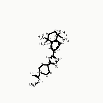 CC(C)(C)OC(=O)N1CCC(c2nc(-c3ccc4c(c3)C(C)(C)CCC4(C)C)no2)CC1